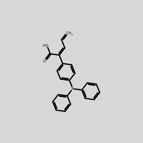 C=C/C=C(\C(=O)O)c1ccc(N(c2ccccc2)c2ccccc2)cc1